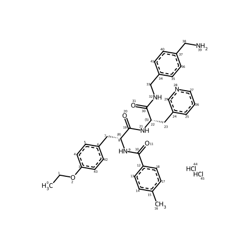 CCOc1ccc(C[C@@H](NC(=O)c2ccc(C)cc2)C(=O)N[C@@H](Cc2cccnc2)C(=O)NCc2ccc(CN)cc2)cc1.Cl.Cl